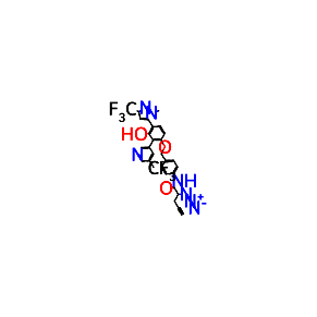 C#CCC(N=[N+]=[N-])C(=O)Nc1ccc(COc2ccc(-c3cc(C(F)(F)F)nn3C)c(O)c2-c2cncc(C(F)(F)F)c2)cc1